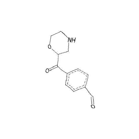 O=Cc1ccc(C(=O)C2CNCCO2)cc1